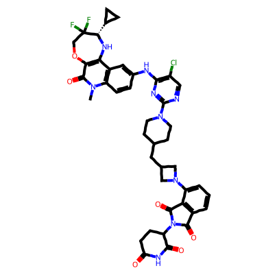 Cn1c(=O)c2c(c3cc(Nc4nc(N5CCC(CC6CN(c7cccc8c7C(=O)N(C7CCC(=O)NC7=O)C8=O)C6)CC5)ncc4Cl)ccc31)N[C@@H](C1CC1)C(F)(F)CO2